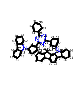 CC1(C)c2ccccc2-c2ccc3c4ccccc4n(-c4cccc(-c5nc(-c6ccccc6)nc(-c6cccc(-n7c8ccccc8c8ccccc87)c6)n5)c4)c3c21